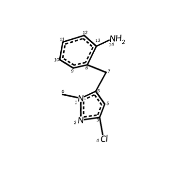 Cn1nc(Cl)cc1Cc1ccccc1N